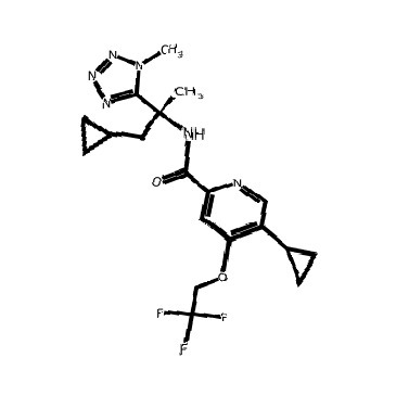 Cn1nnnc1[C@@](C)(CC1CC1)NC(=O)c1cc(OCC(F)(F)F)c(C2CC2)cn1